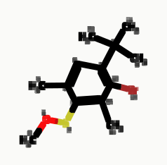 COSc1c(C)cc(C(C)(C)C)c(Br)c1C